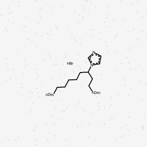 Br.CCCCCCCCCCCCCCCC(CCCCCCCCCCCC)n1ccnc1